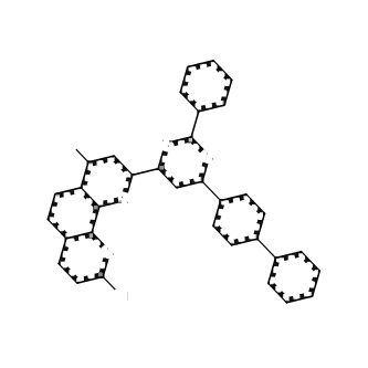 Cc1ccc2ccc3c(C)cc(-c4cc(-c5ccc(-c6ccccc6)cc5)nc(-c5ccccc5)n4)nc3c2n1